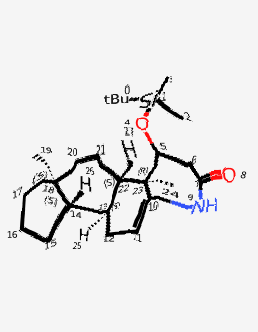 CC(C)(C)[Si](C)(C)OC1CC(=O)NC2=CC[C@H]3[C@@H]4CCC[C@@]4(C)CC[C@@H]3[C@]21C